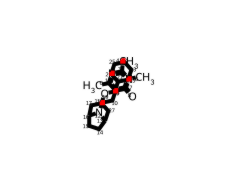 Cc1nc(C)n(C)c(=O)c1CCN1C2CCC1CC(OCC1CCCCC1)C2